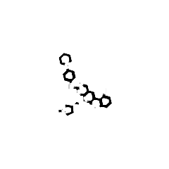 CN1CC[C@H](COn2c(=O)c(-c3c(F)cccc3Cl)cc3cnc(Nc4ccc(N5CCCCC5)cc4)nc32)C1